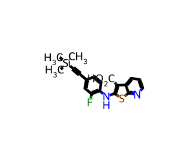 C[Si](C)(C)C#Cc1ccc(Nc2sc3ncccc3c2C(=O)O)c(F)c1